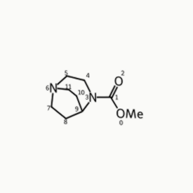 COC(=O)N1CCN2CCC1CC2